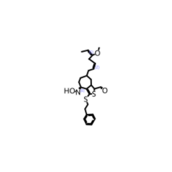 C/C=C(\C/C=C\CC1CC/C(=N\O)C2=C(SCCc3ccccc3)SC(C=O)C2C1)OC